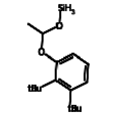 CC(O[SiH3])Oc1cccc(C(C)(C)C)c1C(C)(C)C